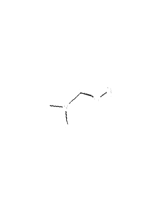 CN(C)CO[NH]